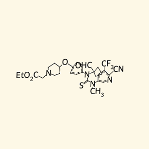 CCOC(=O)CN1CCC(Oc2ccc(N(C(=S)N(C)c3cnc(C#N)c(C(F)(F)F)c3)C3(C=O)CCC3)cc2)CC1